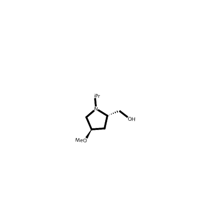 CO[C@@H]1C[C@@H](CO)N(C(C)C)C1